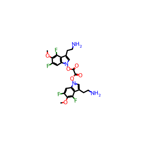 COc1c(F)cc2c(c(CCN)cn2OC(=O)C(=O)On2cc(CCN)c3c(F)c(OC)c(F)cc32)c1F